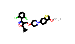 O=C(O)Oc1csc2cc(N3CCC(OCc4c(-c5c(Cl)cccc5Cl)noc4C4CC4)CC3)ccc12